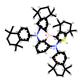 CC1(C)CCC(C)(C)c2cc(N3c4cc5c(cc4B4c6c3cccc6N(c3ccc6c(c3)C(C)(C)CCC6(C)C)c3sc6c(c34)C(C)(C)CCC6(C)C)C(C)(C)CCC5(C)C)ccc21